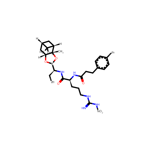 CC(C)C[C@H](NC(=O)[C@H](CCCNC(=N)N[N+](=O)[O-])NC(=O)CCc1ccc(C(C)C)cc1)B1O[C@@H]2C[C@@H]3C[C@@H](C3(C)C)[C@]2(C)O1